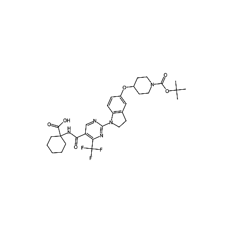 CC(C)(C)OC(=O)N1CCC(Oc2ccc3c(c2)CCN3c2ncc(C(=O)NC3(C(=O)O)CCCCC3)c(C(F)(F)F)n2)CC1